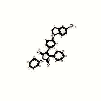 Cc1ccc2c(c1)CCN2c1ccc(C2=C(c3ccccc3)C(=O)N(c3ccccc3)C2=O)cc1